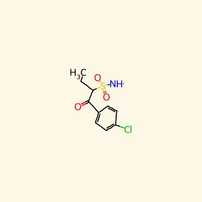 CCC(C(=O)c1ccc(Cl)cc1)S([NH])(=O)=O